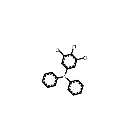 Clc1cc(N(c2ccccc2)c2ccccc2)cc(Cl)c1Cl